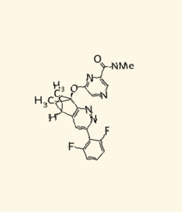 CNC(=O)c1cncc(O[C@@]23CC[C@@H](c4cc(-c5c(F)cccc5F)nnc42)C3(C)C)n1